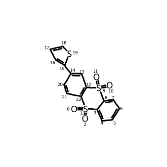 O=S1(=O)c2ccccc2S(=O)(=O)c2cc(-c3cccs3)ccc21